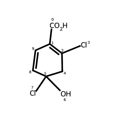 O=C(O)C1=C(Cl)CC(O)(Cl)C=C1